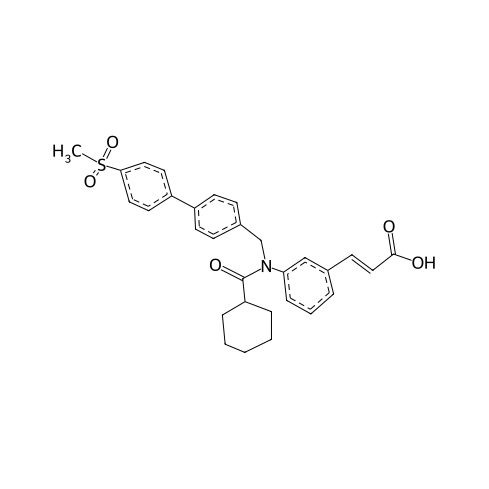 CS(=O)(=O)c1ccc(-c2ccc(CN(C(=O)C3CCCCC3)c3cccc(C=CC(=O)O)c3)cc2)cc1